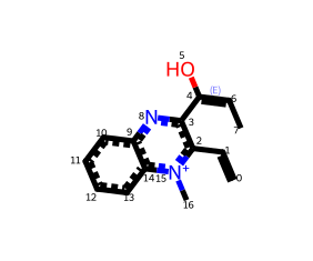 C=Cc1c(/C(O)=C\C)nc2ccccc2[n+]1C